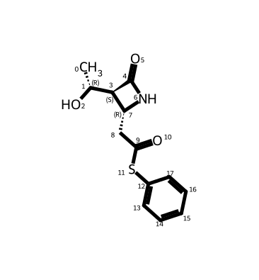 C[C@@H](O)[C@H]1C(=O)N[C@@H]1CC(=O)Sc1ccccc1